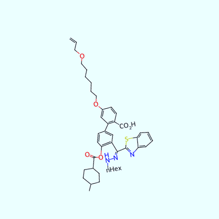 C=CCOCCCCCCOc1ccc(C(=O)O)c(-c2ccc(OC(=O)C3CCC(C)CC3)c(C(=NNCCCCCC)c3nc4ccccc4s3)c2)c1